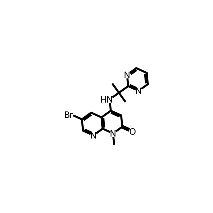 Cn1c(=O)cc(NC(C)(C)c2ncccn2)c2cc(Br)cnc21